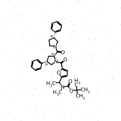 CC(c1ccc(C(=O)N2C[C@@H](c3ccccc3)C[C@H]2C(=O)N2CC[C@H](c3ccccc3)C2)o1)N(C)C(=O)OC(C)(C)C